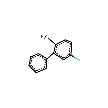 Cc1ccc(F)cc1-c1cc[c]cc1